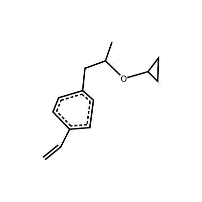 C=Cc1ccc(CC(C)OC2CC2)cc1